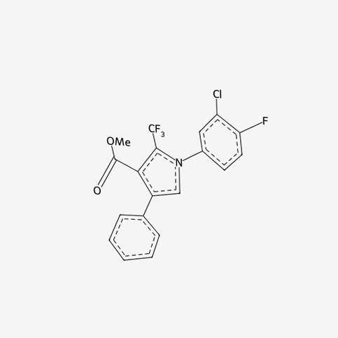 COC(=O)c1c(-c2ccccc2)cn(-c2ccc(F)c(Cl)c2)c1C(F)(F)F